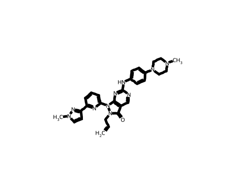 C=CCn1c(=O)c2cnc(Nc3ccc(N4CCN(C)CC4)cc3)nc2n1-c1cccc(-c2ccn(C)n2)n1